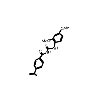 C=C(C)c1ccc(C(=O)NC(=S)Nc2ccc(OC)cc2OC)cc1